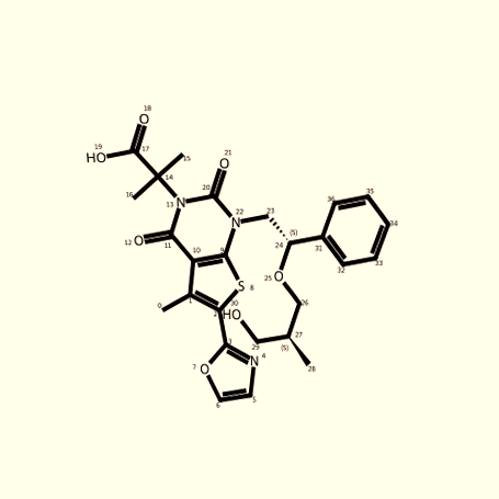 Cc1c(-c2ncco2)sc2c1c(=O)n(C(C)(C)C(=O)O)c(=O)n2C[C@@H](OC[C@@H](C)CO)c1ccccc1